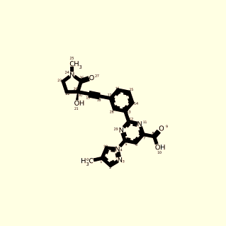 Cc1cnn(-c2cc(C(=O)O)nc(-c3cccc(C#C[C@]4(O)CCN(C)C4=O)c3)n2)c1